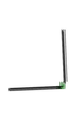 Cl.Cl.Cl.Cl.Cl.Cl.Cl.Cl.[K+].[K+].[K+].[K+].[K+].[K+].[K+].[K+].[K+].[K+].[K+].[K+].[K+].[K+].[K+].[K+].[K+].[K+].[K+].[K+].[K+].[K+].[K+].[K+].[K+].[K+].[K+].[K+].[K+].[K+].[K+].[K+].[K+].[K+].[K+].[K+].[K+].[K+].[K+].[K+].[K+].[K+].[K+].[K+].[K+].[K+].[K+].[K+].[K+].[K+].[K+].[K+].[K+].[K+].[K+].[K+].[K+].[K+].[K+].[K+].[K+].[K+].[K+].[K+].[K+].[K+].[K+].[K+].[K+].[K+].[K+].[K+].[K+].[K+].[K+].[K+].[K+].[K+].[K+].[K+].[K+].[K+].[K+].[K+].[K+].[K+].[K+].[K+].[K+].[K+].[K+].[K+].[K+].[K+].[K+].[K+].[K+].[K+].[K+]